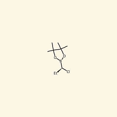 CC[C@H](Cl)B1OC(C)(C)C(C)(C)O1